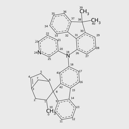 CC1CC2=CCC(C2)C12c1ccccc1-c1ccc(N(c3cccnc3)c3cccc4c3-c3ccccc3C4(C)C)cc12